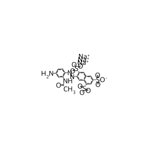 CC(=O)Nc1cc(N)ccc1N=Nc1cc2c(S(=O)(=O)[O-])cc(S(=O)(=O)[O-])cc2cc1S(=O)(=O)[O-].[Na+].[Na+].[Na+]